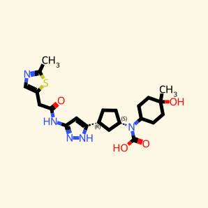 Cc1ncc(CC(=O)Nc2cc([C@@H]3CC[C@H](N(C(=O)O)C4CCC(C)(O)CC4)C3)[nH]n2)s1